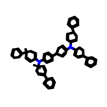 CC1(C2=CC=CCC2)C=CC(N(c2ccc(C3C=CC(N(C4=CCC(c5ccccc5)C=C4)C4=CC=C(c5ccccc5)CC4)=CC3)cc2)[C@]2(C)C=CC(c3ccccc3)=CC2)=CC1